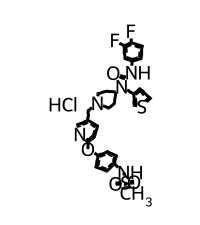 CS(=O)(=O)Nc1ccc(Oc2ccc(CN3CCC(N(C(=O)Nc4ccc(F)c(F)c4)c4ccsc4)CC3)cn2)cc1.Cl